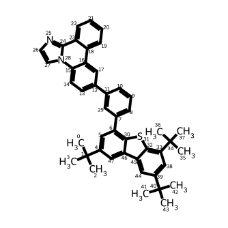 CC(C)(C)c1cc(-c2cccc(-c3ccc4c(c3)c3ccccc3c3nccn43)c2)c2sc3c(C(C)(C)C)cc(C(C)(C)C)cc3c2c1